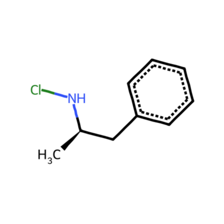 C[C@H](Cc1ccccc1)NCl